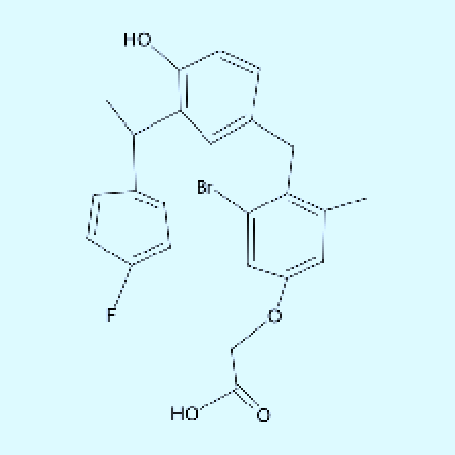 Cc1cc(OCC(=O)O)cc(Br)c1Cc1ccc(O)c(C(C)c2ccc(F)cc2)c1